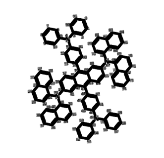 c1ccc(N(c2ccccc2)c2ccc(-c3c4ccc(N(c5cccc6ccccc56)c5cccc6ccccc56)cc4c(-c4ccc(N(c5ccccc5)c5ccccc5)cc4)c4ccc(N(c5cccc6ccccc56)c5cccc6ccccc56)cc34)cc2)cc1